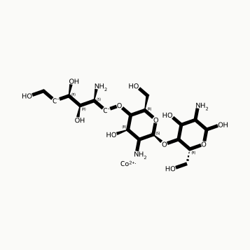 NC1C(O)O[C@H](CO)C(O[C@@H]2O[C@H](CO)C(O[CH-][C@H](N)[C@@H](O)[C@H](O)[CH-]CO)[C@H](O)C2N)C1O.[Co+2]